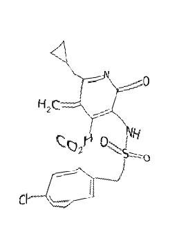 C=C1C(C2CC2)=NC(=O)C(NS(=O)(=O)Cc2ccc(Cl)cc2)=C1C(=O)O